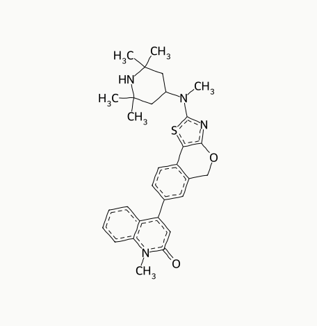 CN(c1nc2c(s1)-c1ccc(-c3cc(=O)n(C)c4ccccc34)cc1CO2)C1CC(C)(C)NC(C)(C)C1